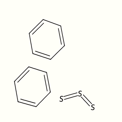 S=S=S.c1ccccc1.c1ccccc1